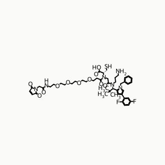 CC(C)(C)[C@H](c1cc(-c2cc(F)ccc2F)cn1Cc1ccccc1)N(CCCN)C(=O)CN(C(=O)CCOCCOCCOCCOCCNC(=O)CN1C(=O)C=CC1=O)[C@@H](CS)C(=O)O